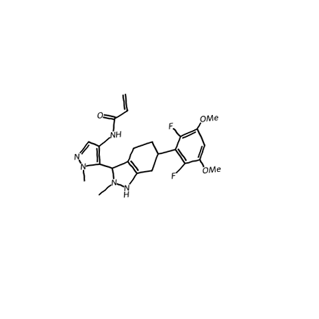 C=CC(=O)Nc1cnn(C)c1C1C2=C(CC(c3c(F)c(OC)cc(OC)c3F)CC2)NN1C